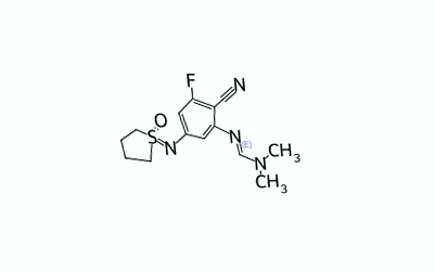 CN(C)/C=N/c1cc(N=S2(=O)CCCC2)cc(F)c1C#N